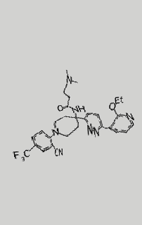 CCOc1ncccc1-c1ccc(C2(NC(=O)CCN(C)C)CCN(c3ccc(C(F)(F)F)cc3C#N)CC2)nn1